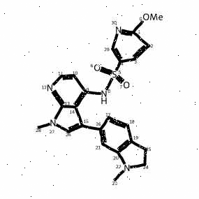 COc1ccc(S(=O)(=O)Nc2ccnc3c2c(-c2ccc4c(c2)N(C)CC4)cn3C)cn1